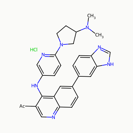 CC(=O)c1cnc2ccc(-c3ccc4nc[nH]c4c3)cc2c1Nc1ccc(N2CCC(N(C)C)C2)nc1.Cl